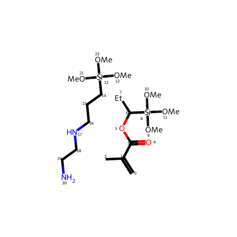 C=C(C)C(=O)OC(CC)[Si](OC)(OC)OC.CO[Si](CCCNCCN)(OC)OC